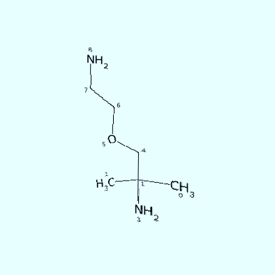 CC(C)(N)COCCN